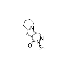 CSn1ncc2c(cc3n2CCCC3)c1=O